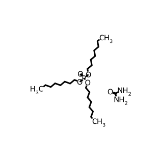 CCCCCCCCOP(=O)(OCCCCCCCC)OCCCCCCCC.NC(N)=O